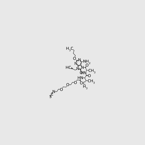 C#CCn1c(=O)n(C(=O)C(C)NC(=O)C(NC(=O)COCCOCCOCCN=C=S)C(C)C)c2c(N)nc(OCCCC)nc21